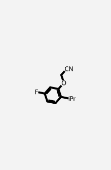 CC(C)c1ccc(F)cc1OCC#N